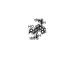 CC(C)(C)OC(=O)NCCn1c(=O)c(-c2cccc(F)c2Cl)cn(C(C(=O)O)n2cc(-c3cccc(F)c3Cl)c(=O)n(CCNC(=O)OC(C)(C)C)c2=O)c1=O